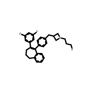 FCCCN1CC(Cc2ccc(C3=C(c4cc(F)cc(F)c4)CCCc4ccccc43)cc2)C1